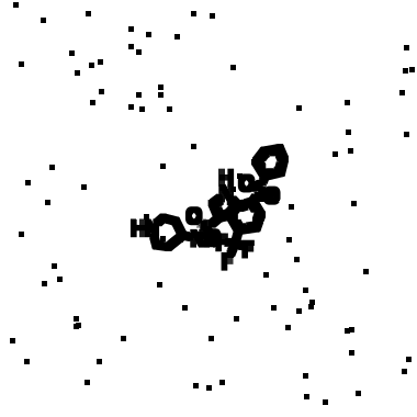 O=S(=O)(NC1CCNCC1)c1c[nH]c2c(S(=O)(=O)c3ccccc3)ccc(C(F)(F)F)c12